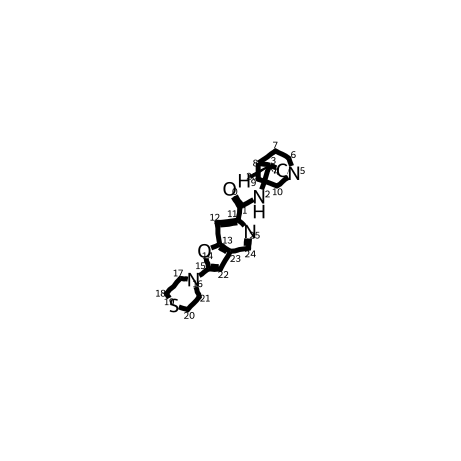 O=C(N[C@H]1CN2CCC1CC2)c1cc2oc(N3CCSCC3)cc2cn1